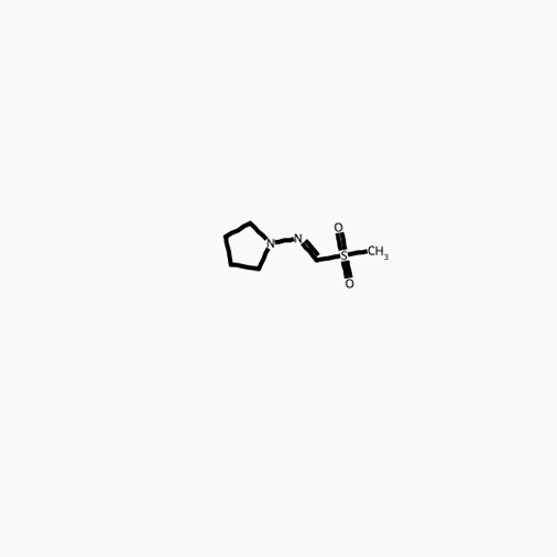 CS(=O)(=O)C=NN1CCCC1